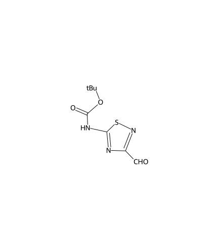 CC(C)(C)OC(=O)Nc1nc(C=O)ns1